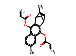 C=CC(=O)Oc1c2c(c(OC(=O)C=C)c3ccc(C)cc13)C1CC2C=C1C